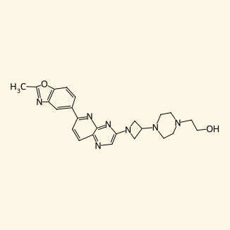 Cc1nc2cc(-c3ccc4ncc(N5CC(N6CCN(CCO)CC6)C5)nc4n3)ccc2o1